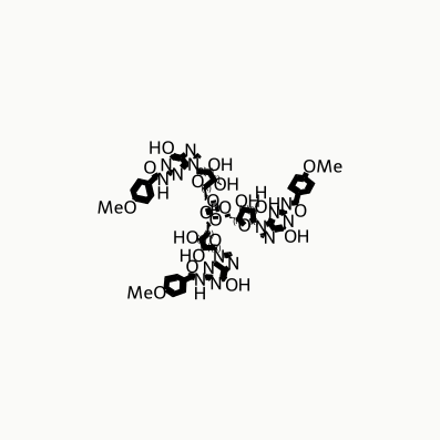 COc1ccc(C(=O)Nc2nc(O)c3ncn([C@@H]4O[C@H](COP(=O)(OC[C@H]5O[C@@H](n6cnc7c(O)nc(NC(=O)c8ccc(OC)cc8)nc76)[C@H](O)[C@@H]5O)OC[C@H]5O[C@@H](n6cnc7c(O)nc(NC(=O)c8ccc(OC)cc8)nc76)[C@H](O)[C@@H]5O)[C@@H](O)[C@H]4O)c3n2)cc1